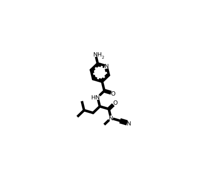 CC(C)CC(NC(=O)c1ccc(N)nc1)C(=O)N(C)C#N